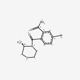 C[C@@H]1COCCN1C(=O)c1ccc(Br)cc1C(N)=O